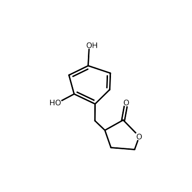 O=C1OCCC1Cc1ccc(O)cc1O